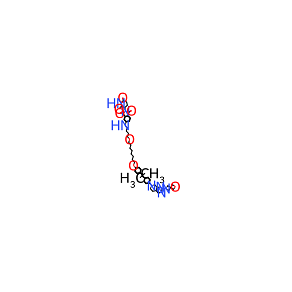 CC(C)(c1ccc(OCCCCCCCCOCCCCNc2ccc3c(c2)C(=O)N(C2CCC(=O)NC2=O)C3=O)cc1)c1ccc(N2CCc3cnc(N4CC5(COC5)C4)nc3C2)cc1